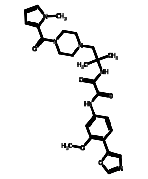 COc1cc(NC(=O)C(=O)NC(C)(C)CN2CCN(C(=O)c3cccn3C)CC2)ccc1-c1cnco1